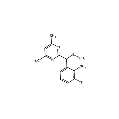 CSC(c1nc(C)cc(C)n1)c1cccc(F)c1N